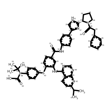 CC(C)c1ccc2c(Nc3cc(C(=O)Nc4ccc(-c5c[nH]c([C@@H]6CCCN6C(=O)Cc6ccccc6)n5)cc4)ccc3Sc3ccc(N(C(=O)O)C(C)(C)C)cc3)ncnc2n1